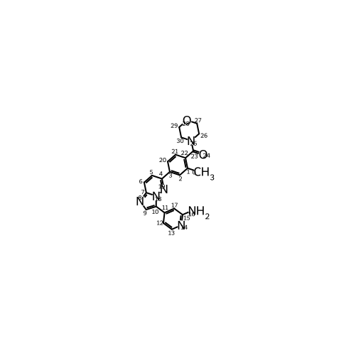 Cc1cc(-c2ccc3ncc(-c4ccnc(N)c4)n3n2)ccc1C(=O)N1CCOCC1